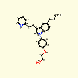 O=C(O)CCc1ccc2c(c1)c(CCc1ccccn1)cn2-c1ccc(OCCO)cc1